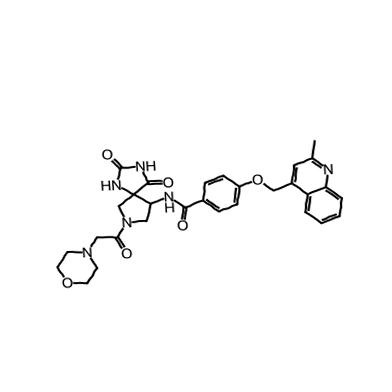 Cc1cc(COc2ccc(C(=O)NC3CN(C(=O)CN4CCOCC4)CC34NC(=O)NC4=O)cc2)c2ccccc2n1